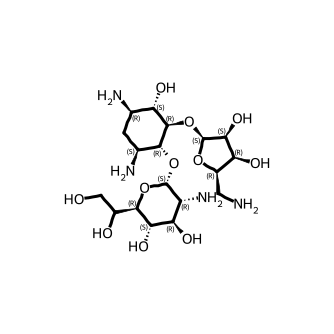 NC[C@H]1O[C@@H](O[C@@H]2[C@@H](O)[C@H](N)C[C@H](N)[C@H]2O[C@H]2O[C@H](C(O)CO)[C@@H](O)[C@H](O)[C@H]2N)[C@@H](O)[C@H]1O